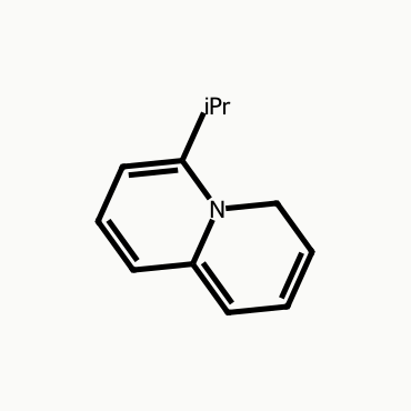 CC(C)C1=CC=CC2=CC=CCN21